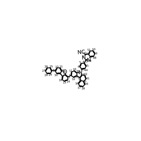 N#Cc1nc(-c2ccc(-n3c4ccc(-c5cccc6c5oc5ccc(-c7ccccc7)cc56)cc4c4c5ccccc5ccc43)cc2)nc2ccccc12